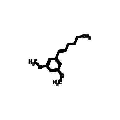 CCCCC=Cc1cc(OC)cc(OC)c1